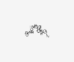 CC1(CNC2CCC(Nc3cc(-c4cccc(NCC5CC(C#N)CCO5)n4)c(Cl)cn3)CC2)OCCO1